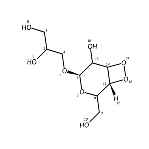 OCC(O)CO[C@@H]1OC(CO)[C@H]2OOC2C1O